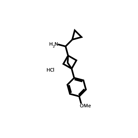 COc1ccc(C23CC(C(N)C4CC4)(C2)C3)cc1.Cl